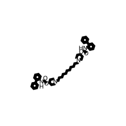 O=C(Nc1ccccc1-c1ccccc1)OC1CCN(CCCCCCCCCCCN2CCC(OC(=O)Nc3ccccc3-c3ccccc3)CC2)CC1